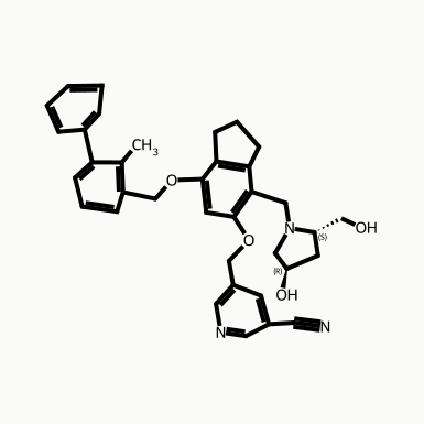 Cc1c(COc2cc(OCc3cncc(C#N)c3)c(CN3C[C@H](O)C[C@H]3CO)c3c2CCC3)cccc1-c1ccccc1